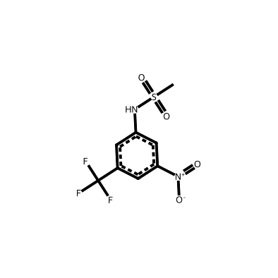 CS(=O)(=O)Nc1cc([N+](=O)[O-])cc(C(F)(F)F)c1